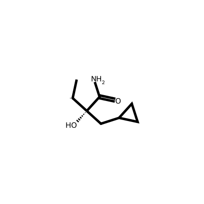 C[CH][C@](O)(CC1CC1)C(N)=O